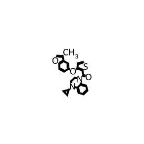 Cc1coc2ccc(Oc3ccsc3C(=O)N3CCN(C4CC4)c4ccccc43)cc12